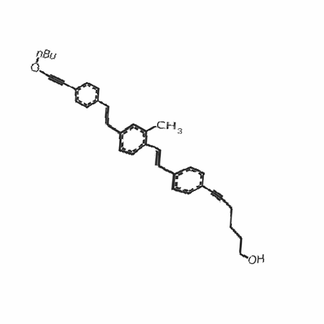 CCCCOC#Cc1ccc(/C=C/c2ccc(/C=C/c3ccc(C#CCCCCO)cc3)c(C)c2)cc1